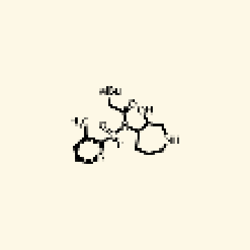 [CH2]C[C@H](C)CC(=O)N(C1CCCNCC1O)S(=O)(=O)c1ncccc1C